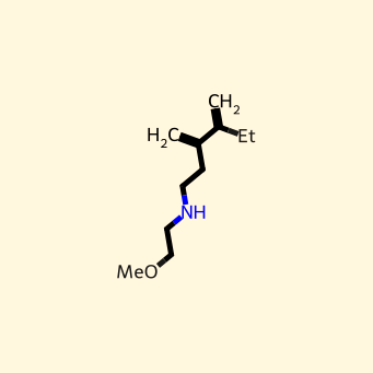 C=C(CC)C(=C)CCNCCOC